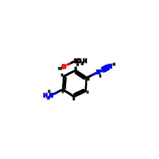 N#[N+]c1ccc(N)cc1.O=S(=O)([O-])O